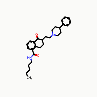 CCCCCNC(=O)c1cccc2c1CCC(CCN1CCC(c3ccccc3)CC1)C2=O